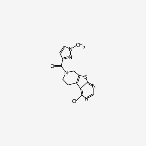 Cn1ccc(C(=O)N2CCc3c(sc4ncnc(Cl)c34)C2)n1